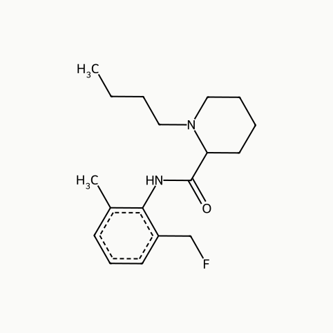 CCCCN1CCCCC1C(=O)Nc1c(C)cccc1CF